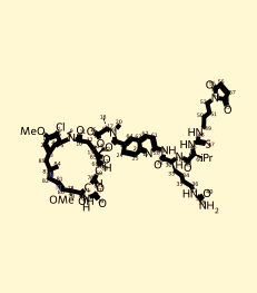 COc1cc2cc(c1Cl)N(C)C(=O)C[C@H](OC(=O)[C@H](C)N(C)C(=O)c1ccc3nc(NC(=O)[C@H](CCCCNC(N)=O)NC(=O)[C@@H](NC(=S)NCCCCN4C(=O)C=CC4=O)C(C)C)ccc3c1)[C@]1(C)O[C@H]1C[C@@H]1C[C@@](O)(NC(=O)O1)[C@H](OC)/C=C/C=C(\C)C2